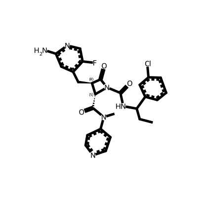 CCC(NC(=O)N1C(=O)[C@H](Cc2cc(N)ncc2F)[C@H]1C(=O)N(C)c1ccncc1)c1cccc(Cl)c1